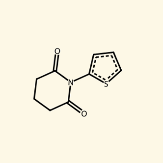 O=C1CCCC(=O)N1c1cccs1